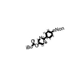 CCCCCCCCCc1ccc(-c2ncc(OC(=O)C(C)CC)cn2)cc1